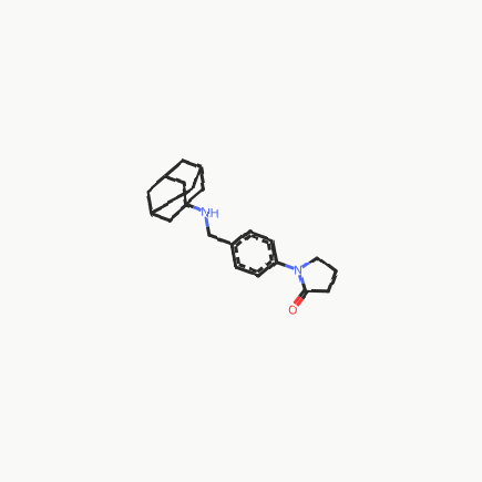 O=C1CCCN1c1ccc(CNC23CC4CC(CC(C4)C2)C3)cc1